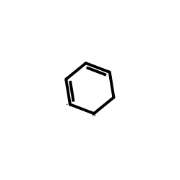 [C]1[C]=CC=CC1